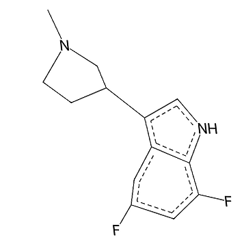 CN1CCC(c2c[nH]c3c(F)cc(F)cc23)C1